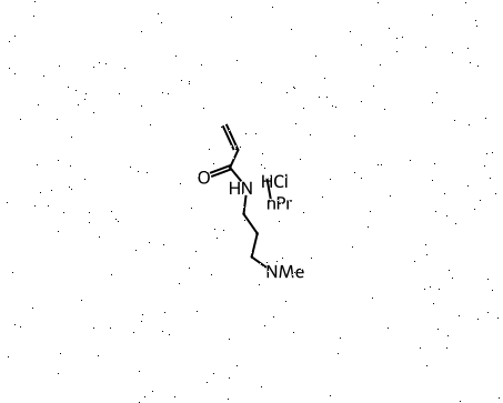 C=CC(=O)NCCCNC.CCCC.Cl